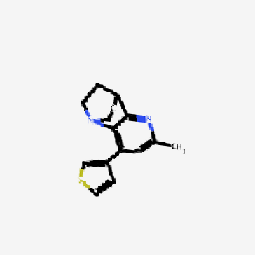 Cc1cc(-c2ccsc2)c2c(n1)C1CCN2CC1